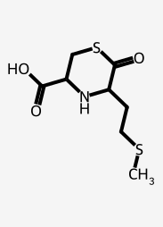 CSCCC1NC(C(=O)O)CSC1=O